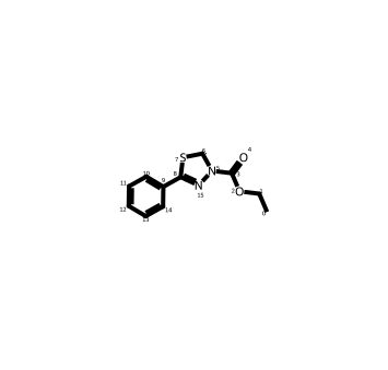 CCOC(=O)N1[CH]SC(c2ccccc2)=N1